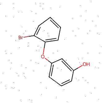 Oc1cccc(Oc2ccccc2Br)c1